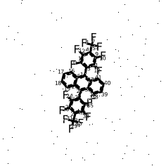 Fc1c(F)c(C(F)(F)F)c(F)c(F)c1-c1c2ccccc2c(-c2c(F)c(F)c(C(F)(F)F)c(F)c2F)c2c(F)cccc12